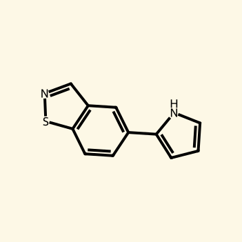 c1c[nH]c(-c2ccc3sncc3c2)c1